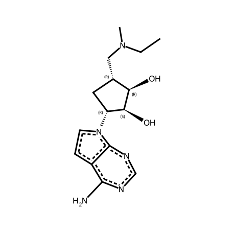 CCN(C)C[C@H]1C[C@@H](n2ccc3c(N)ncnc32)[C@H](O)[C@@H]1O